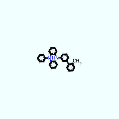 Cc1ccccc1-c1cccc(Nc2ccccc2N(c2ccccc2)c2ccccc2)c1